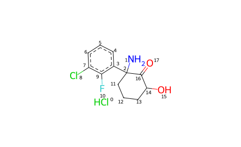 Cl.NC1(c2cccc(Cl)c2F)CCCC(O)C1=O